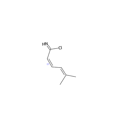 CC(C)=C/C=C\C(=N)Cl